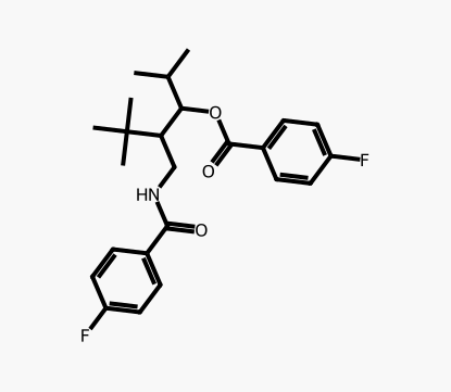 CC(C)C(OC(=O)c1ccc(F)cc1)C(CNC(=O)c1ccc(F)cc1)C(C)(C)C